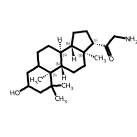 CC1(C)CC(O)CC2CC[C@H]3[C@@H]4CC[C@H](C(=O)CN)[C@@]4(C)CC[C@@H]3[C@]21C